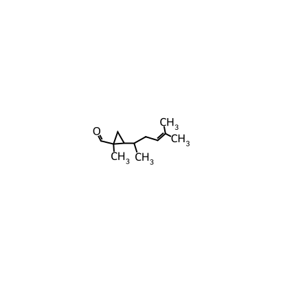 CC(C)=CCC(C)C1CC1(C)C=O